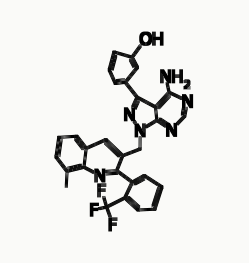 Cc1cccc2cc(Cn3nc(-c4cccc(O)c4)c4c(N)ncnc43)c(-c3ccccc3C(F)(F)F)nc12